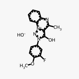 COc1ccc(-n2n[n+]3c(c(C)nc4ccccc43)c2O)cc1F.[OH-]